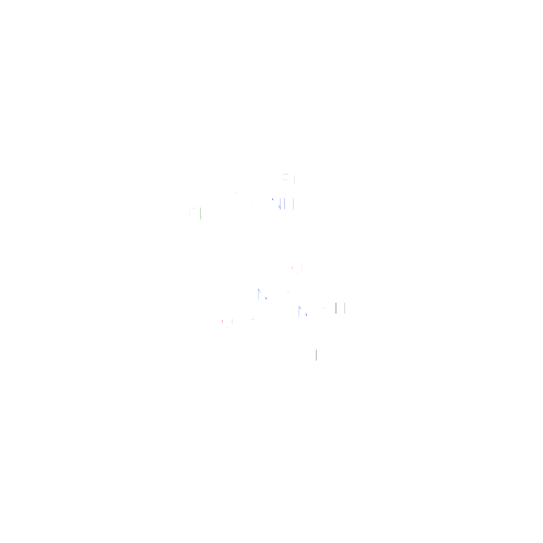 CCNC(=O)c1cc(-n2c(=O)cc(C(F)(F)F)n(C)c2=O)c(F)cc1Cl